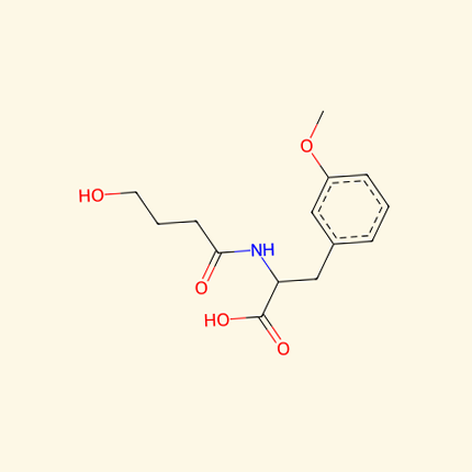 COc1cccc(CC(NC(=O)CCCO)C(=O)O)c1